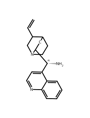 C=CC1CN2CCC1CC2[C@H](N)c1ccnc2ccccc12